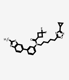 Cc1nc2ccc(-c3cccc(N(CCCCCc4nc(C5CC5)no4)C(=O)C4CC(F)(F)C4)c3)cc2s1